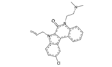 C=CCn1c2ccc(Cl)cc2c2c3ccccc3n(CCN(C)C)c(=O)c21